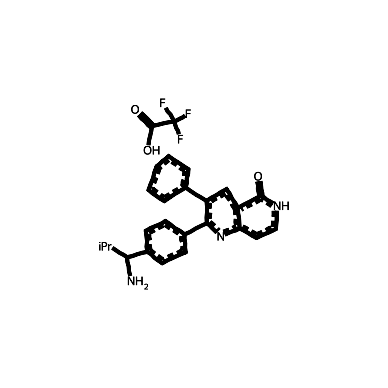 CC(C)C(N)c1ccc(-c2nc3cc[nH]c(=O)c3cc2-c2ccccc2)cc1.O=C(O)C(F)(F)F